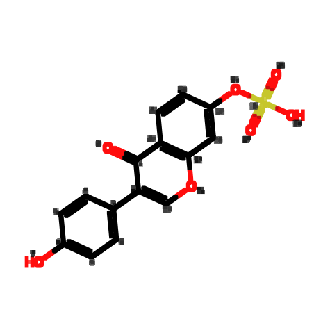 O=c1c(-c2ccc(O)cc2)coc2cc(OS(=O)(=O)O)ccc12